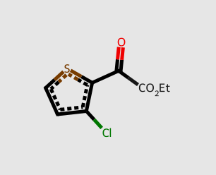 CCOC(=O)C(=O)c1sccc1Cl